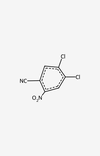 N#Cc1cc(Cl)c(Cl)cc1[N+](=O)[O-]